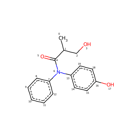 CC(CO)C(=O)N(c1ccccc1)c1ccc(O)cc1